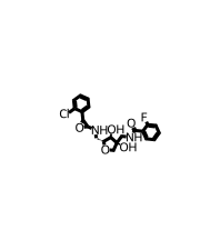 O=C(NC[C@]1(O)CO[C@H](CNC2OC2c2ccccc2Cl)[C@H]1O)c1ccccc1F